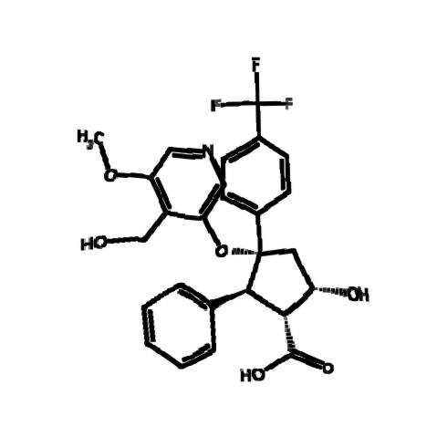 COc1cncc(O[C@]2(c3ccc(C(F)(F)F)cc3)C[C@H](O)[C@H](C(=O)O)[C@H]2c2ccccc2)c1CO